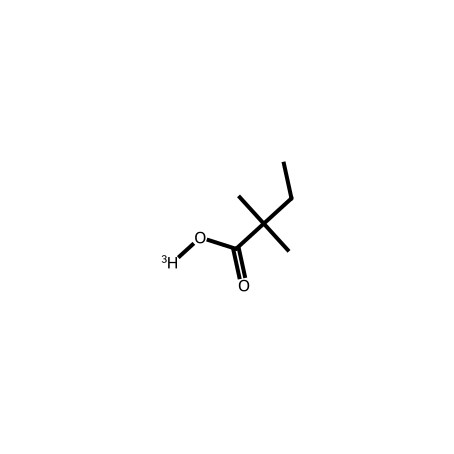 [3H]OC(=O)C(C)(C)CC